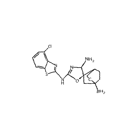 BC12CCC(CC1)[C@@]1(C2)OC(Nc2nc3c(Cl)cccc3s2)=NC1N